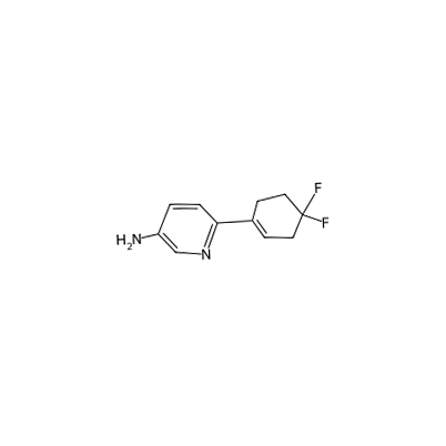 Nc1ccc(C2=CCC(F)(F)CC2)nc1